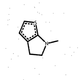 CN1CCc2ccsc21